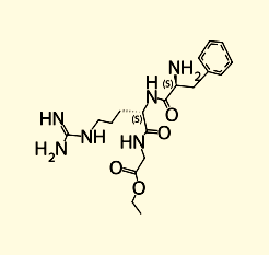 CCOC(=O)CNC(=O)[C@H](CCCNC(=N)N)NC(=O)[C@@H](N)Cc1ccccc1